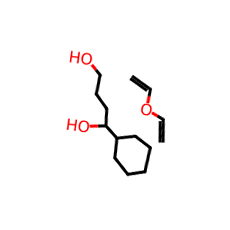 C=COC=C.OCCCC(O)C1CCCCC1